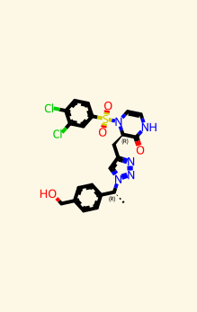 C[C@H](c1ccc(CO)cc1)n1cc(C[C@@H]2C(=O)NC=CN2S(=O)(=O)c2ccc(Cl)c(Cl)c2)nn1